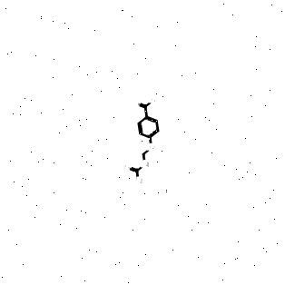 N=C(N)NCNc1ccc(C(N)=O)cc1